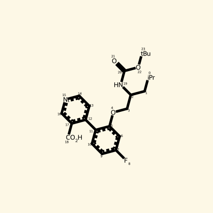 CC(C)CC(COc1cc(F)ccc1-c1ccncc1C(=O)O)NC(=O)OC(C)(C)C